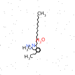 CCCCCCCCCCCCCCCC(N)c1cccc(CCC)c1CCC.O